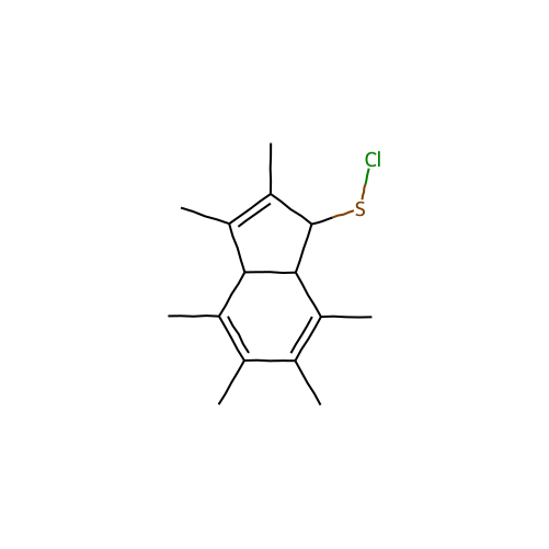 CC1=C(C)C2C(C)=C(C)C(SCl)C2C(C)=C1C